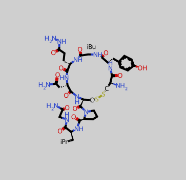 CC[C@H](C)C1NC(=O)[C@H](Cc2ccc(O)cc2)NC(=O)[C@@H](N)CSSC[C@@H](C(=O)N2CCC[C@H]2C(=O)N[C@@H](CC(C)C)C(=O)NCC(N)=O)NC(=O)[C@H](CC(N)=O)NC(=O)[C@H](CCC(=O)NN)NC1=O